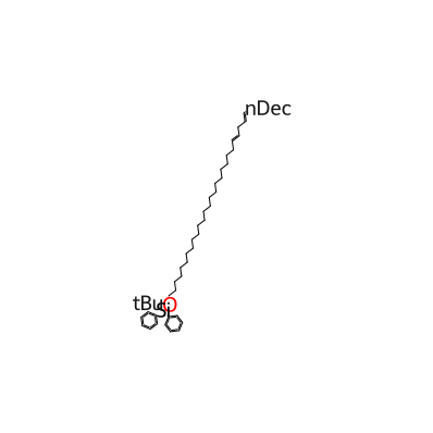 CCCCCCCCCCC=CCC=CCCCCCCCCCCCCCCCCCCCCCCO[Si](c1ccccc1)(c1ccccc1)C(C)(C)C